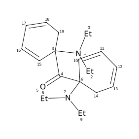 CCN(CC)C1(C(=O)C2(N(CC)CC)C=CC=CC2)C=CC=CC1